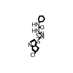 O=C(Nc1nnc(Sc2ccnc3cc(Cl)ccc23)s1)NC1CCCCC1